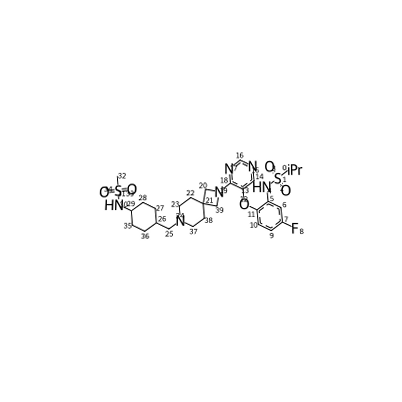 CC(C)S(=O)(=O)Nc1cc(F)ccc1Oc1cncnc1N1CC2(CCN(CC3CCC(NS(C)(=O)=O)CC3)CC2)C1